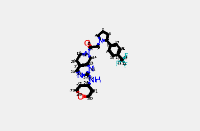 O=C(CN1CCCC1c1ccc(C(F)(F)F)cc1)N1CCc2cnc(NC3CCOCC3)nc2C1